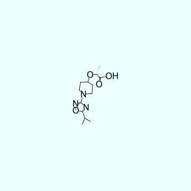 CC(C)c1nc(N2CCC(O[C@H](C)C(=O)O)CC2)no1